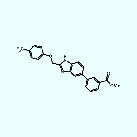 COC(=O)c1cccc(-c2ccc3[nH]c(COc4ccc(C(F)(F)F)cc4)nc3c2)c1